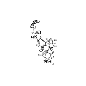 CC(C)(C)OCCC(=O)Nc1ccc2c(c1)Oc1cc(N)ccc1C21OCc2ccccc21